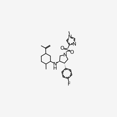 C=C(C)C1CCC(C)C(N[C@H]2CN(S(=O)(=O)c3cn(C)cn3)C[C@@H]2c2ccc(F)cc2)C1